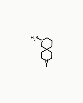 BN1CCCC2(CCN(C)CC2)C1